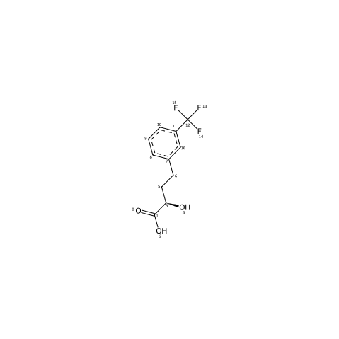 O=C(O)[C@H](O)CCc1cccc(C(F)(F)F)c1